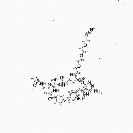 CCCCc1nc2c(N)nnc(OC(C)C)c2n1Cc1ccc(CN2CCN(C(=O)[C@H](CCCNC(N)=O)NC(=O)[C@@H](NC(=O)CCCC(=O)NCCOCCOCCOCCN=[N+]=[N-])C(C)C)CC2)cc1